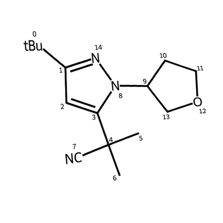 CC(C)(C)c1cc(C(C)(C)C#N)n(C2CCOC2)n1